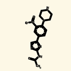 CC(=O)Nc1nc(-c2ccc(N3CCNCC3)c([N+](=O)[O-])c2)cs1